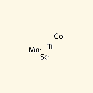 [Co].[Mn].[Sc].[Ti]